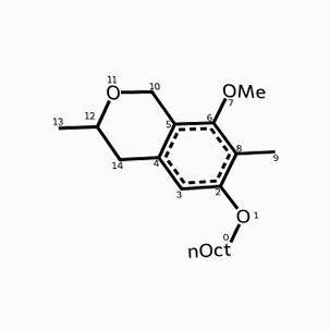 CCCCCCCCOc1cc2c(c(OC)c1C)COC(C)C2